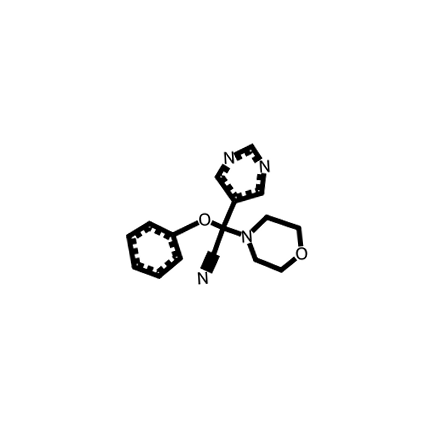 N#CC(Oc1ccccc1)(c1cncnc1)N1CCOCC1